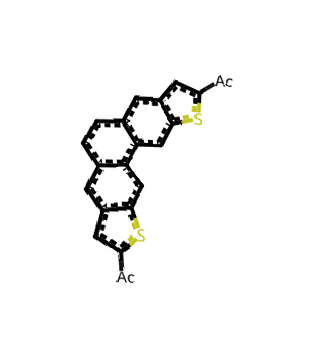 CC(=O)c1cc2cc3ccc4cc5cc(C(C)=O)sc5cc4c3cc2s1